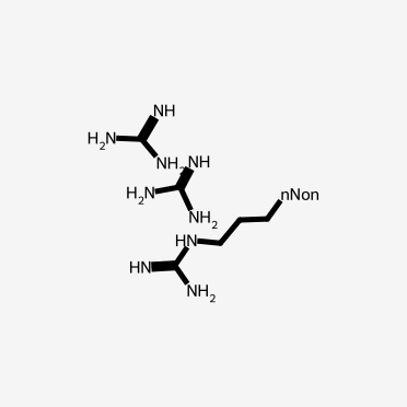 CCCCCCCCCCCCNC(=N)N.N=C(N)N.N=C(N)N